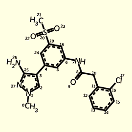 Cn1cc(-c2cc(NC(=O)Cc3ccccc3Cl)cc(S(C)(=O)=O)c2)c(N)n1